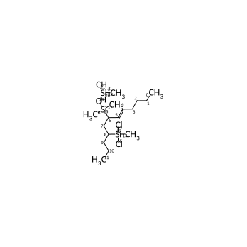 CCCCC=CC(CC(CCC)[Si](C)(Cl)Cl)[Si](C)(C)O[SiH](C)C